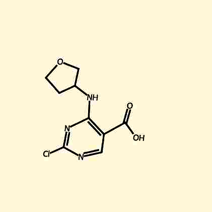 O=C(O)c1cnc(Cl)nc1NC1CCOC1